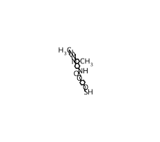 Cc1cc(N2CCN(C)CC2)nc2ccc(NC(=O)COc3ccc(OCS)cc3)cc12